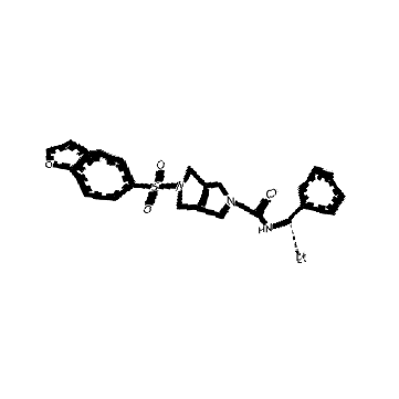 CC[C@H](NC(=O)N1CC2=C(C1)CN(S(=O)(=O)c1ccc3occc3c1)C2)c1ccccc1